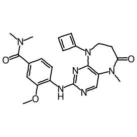 COc1cc(C(=O)N(C)C)ccc1Nc1ncc2c(n1)N(C1=CC=C1)CCC(=O)N2C